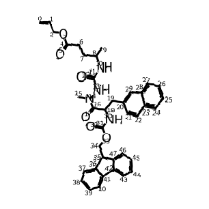 C=CCOC(=O)CCC(C)NC(=O)NN(C)C(=O)C(Cc1ccc2ccccc2c1)NC(=O)OCC1c2ccccc2-c2ccccc21